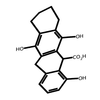 O=C(O)C1c2c(O)cccc2Cc2c(O)c3c(c(O)c21)CCCC3